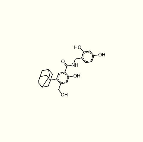 O=C(NCc1ccc(O)cc1O)c1cc(C23CC4CC(CC(C4)C2)C3)c(CO)cc1O